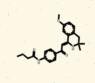 CCCC(=O)Nc1ccc(C(=O)/C=C2\NC(C)(C)Cc3ccc(OC)cc32)cc1